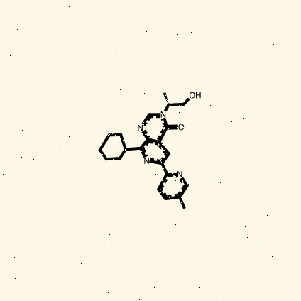 Cc1ccc(-c2cc3c(=O)n([C@@H](C)CO)cnc3c(C3CCCCC3)n2)nc1